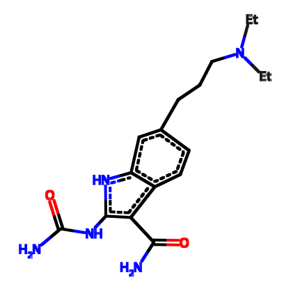 CCN(CC)CCCc1ccc2c(C(N)=O)c(NC(N)=O)[nH]c2c1